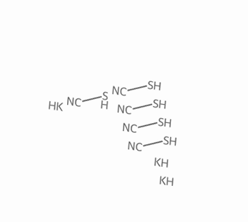 N#CS.N#CS.N#CS.N#CS.N#CS.[KH].[KH].[KH]